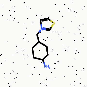 NC1CCC(C[n+]2ccsc2)CC1